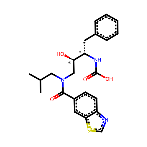 CC(C)CN(C[C@@H](O)[C@H](Cc1ccccc1)NC(=O)O)C(=O)c1ccc2ncsc2c1